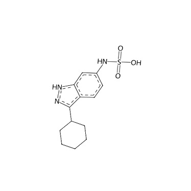 O=S(=O)(O)Nc1ccc2c(C3CCCCC3)n[nH]c2c1